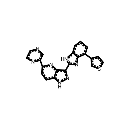 c1cc(-c2ccsc2)c2nc(-c3n[nH]c4ccc(-c5cnccn5)nc34)[nH]c2c1